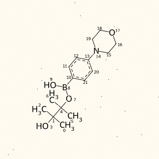 CC(C)(O)C(C)(C)OB(O)c1ccc(N2CCOCC2)cc1